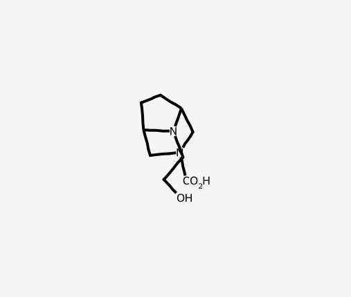 O=C(O)N1CC2CCC(C1)N2CCO